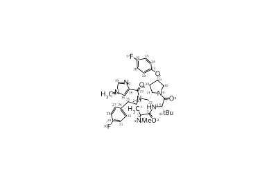 CN[C@@H](C)C(=O)N[C@H](C(=O)N1C[C@@H](Oc2ccc(F)cc2)C[C@H]1CN(CCc1ccc(F)cc1)C(=O)c1cn(C)cn1)C(C)(C)C